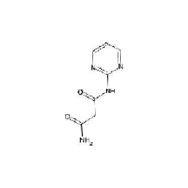 NC(=O)CC(=O)Nc1ncccn1